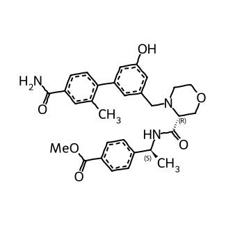 COC(=O)c1ccc([C@H](C)NC(=O)[C@H]2COCCN2Cc2cc(O)cc(-c3ccc(C(N)=O)cc3C)c2)cc1